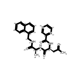 CC(=O)C[C@H](NC(=O)c1cnccn1)C(=O)N[C@@H](C)C(=O)NCc1cccc2ccccc12